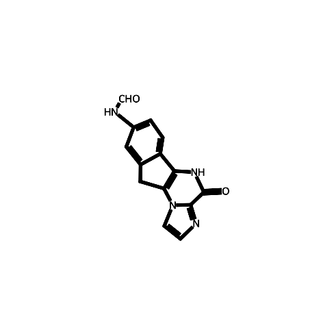 O=CNc1ccc2c(c1)Cc1c-2[nH]c(=O)c2nccn12